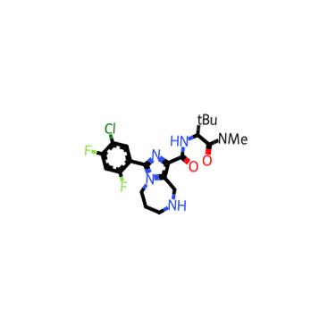 CNC(=O)C(NC(=O)c1nc(-c2cc(Cl)c(F)cc2F)n2c1CNCCC2)C(C)(C)C